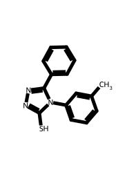 Cc1cccc(-n2c(S)nnc2-c2ccccc2)c1